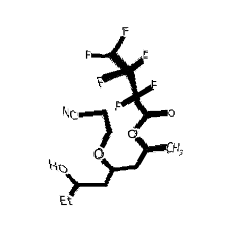 CCC(O)CC(CC(C)OC(=O)C(F)(F)C(F)(F)C(F)F)OCCC#N